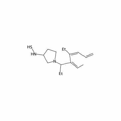 C=C/C=C(CC)\C(=C/C)C(CC)N1CCC(NS)C1